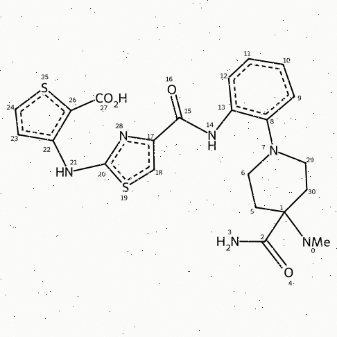 CNC1(C(N)=O)CCN(c2ccccc2NC(=O)c2csc(Nc3ccsc3C(=O)O)n2)CC1